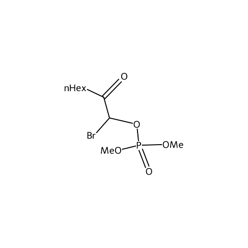 CCCCCCC(=O)C(Br)OP(=O)(OC)OC